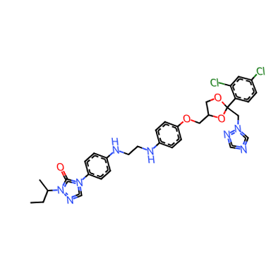 CCC(C)n1ncn(-c2ccc(NCCNc3ccc(OCC4COC(Cn5cncn5)(c5ccc(Cl)cc5Cl)O4)cc3)cc2)c1=O